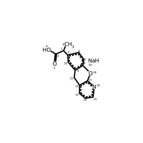 CC(C(=O)O)c1ccc2c(c1)Cc1cccnc1O2.[NaH]